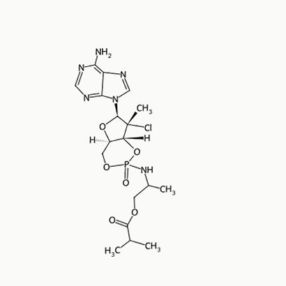 CC(COC(=O)C(C)C)NP1(=O)OC[C@H]2O[C@@H](n3cnc4c(N)ncnc43)[C@](C)(Cl)[C@@H]2O1